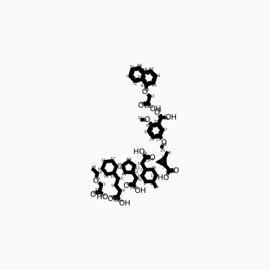 CC1CC1C(=O)O.CC1CCC(CC(=O)O)CC1.CCOCC(=O)O.COc1ccc(OC)c(C(=O)O)c1.O=C(O)CC1CCCC1.O=C(O)CCCC1CCCCC1.O=C(O)COc1cccc2ccccc12